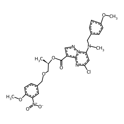 COc1ccc(CN(C)c2cc(Cl)nc3c(C(=O)O[C@H](C)COCc4ccc(OC)c([N+](=O)[O-])c4)cnn23)cc1